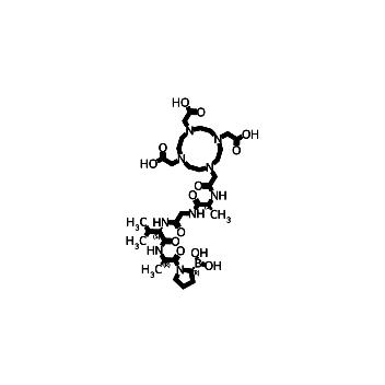 CC(C)[C@H](NC(=O)CNC(=O)[C@H](C)NC(=O)CN1CCN(CC(=O)O)CCN(CC(=O)O)CCN(CC(=O)O)CC1)C(=O)N[C@H](C)C(=O)N1CCC[C@H]1B(O)O